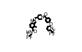 Cc1c(C(=O)NCC(F)(F)F)ccc2nn(CC3CCN(C(=O)c4ccc(Oc5cccc(C(F)(F)F)n5)cc4)CC3)cc12